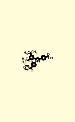 CC(C)c1cc(-c2cc(-c3ccc(C(=O)O)cc3)nn2-c2ccc(C(=O)N3CCOCC3)cc2)cc(C(C)(C)C)c1